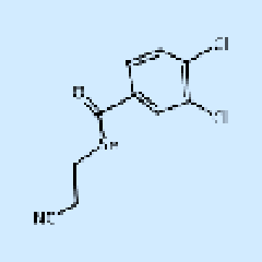 N#CCC[Se]C(=O)c1ccc(Cl)c(Cl)c1